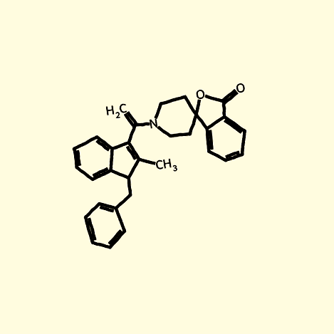 C=C(C1=C(C)C(Cc2ccccc2)c2ccccc21)N1CCC2(CC1)OC(=O)c1ccccc12